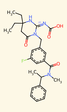 CCC1(CC)CC(=O)N(Cc2cc(F)cc(C(=O)N(C)C(C)c3ccccc3)c2)/C(=N\C(=O)O)N1